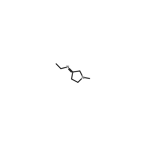 CC/N=C1\CCN(C)C1